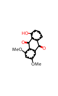 COc1cc(OC)c2c(c1)C(=O)c1cccc(O)c1C2=O